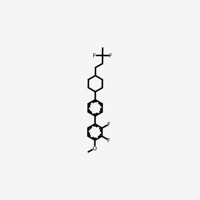 COc1ccc(-c2ccc(C3CCC(CCC(C)(F)F)CC3)cc2)c(F)c1F